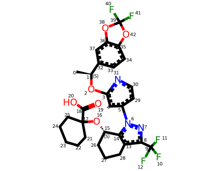 C[C@H](Oc1cc(-n2nc(C(F)(F)F)c3c2[C@@H](OC2(C(=O)O)CCCCC2)CCC3)ccn1)c1ccc2c(c1)OC(F)(F)O2